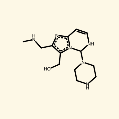 CNCc1nc2n(c1CO)C(N1CCNCC1)NC=C2